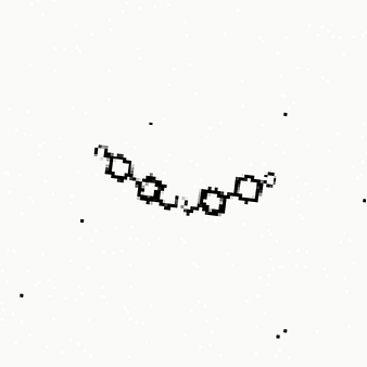 O=C1CCC(c2ccc(COCc3ccc(C4CCC(=O)CC4)cc3)cc2)CC1